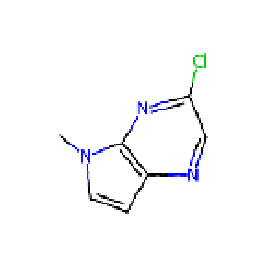 Cn1ccc2ncc(Cl)nc21